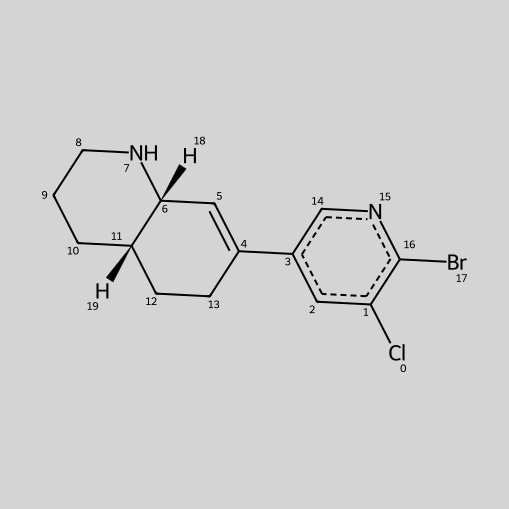 Clc1cc(C2=C[C@H]3NCCC[C@H]3CC2)cnc1Br